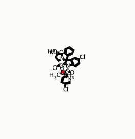 COc1ccccc1C1(N2C[C@H](O)C[C@H]2C(=O)ON(C)C)C(=O)N(S(=O)(=O)c2ccc(Cl)cn2)c2ccc(Cl)cc21